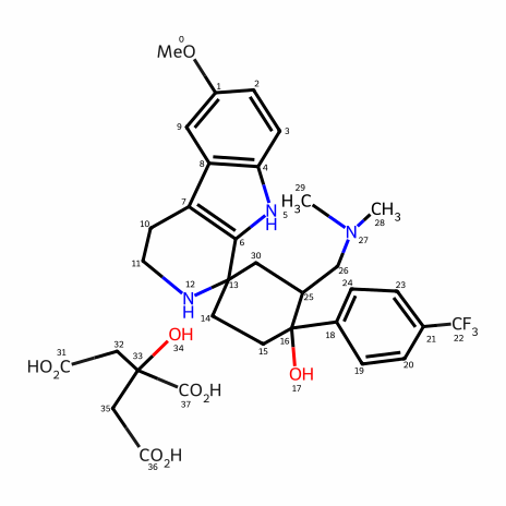 COc1ccc2[nH]c3c(c2c1)CCNC31CCC(O)(c2ccc(C(F)(F)F)cc2)C(CN(C)C)C1.O=C(O)CC(O)(CC(=O)O)C(=O)O